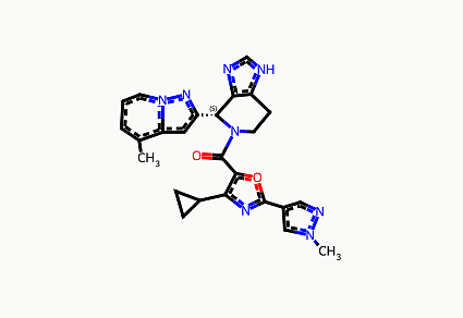 Cc1cccn2nc([C@@H]3c4nc[nH]c4CCN3C(=O)c3oc(-c4cnn(C)c4)nc3C3CC3)cc12